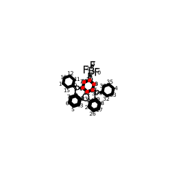 F[B-](F)(F)F.c1ccc(P(C2CCCCC2)C2CCCCC2)c(Oc2ccccc2P(C2CCCCC2)C2CCCCC2)c1